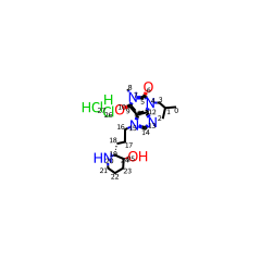 CC(C)Cn1c(=O)n(C)c(=O)c2c1ncn2CCC[C@H]1NCCC[C@@H]1O.Cl.Cl